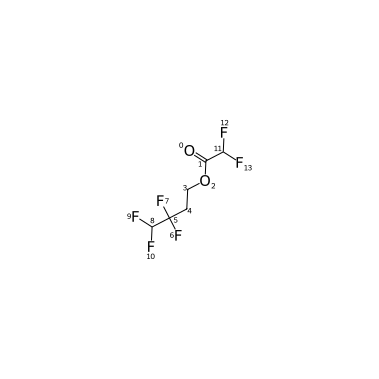 O=C(OCCC(F)(F)C(F)F)C(F)F